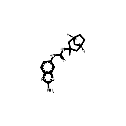 CC1(NC(=O)Nc2ccc3nc(N)sc3c2)C[C@@H]2CC[C@@H](C2)C1